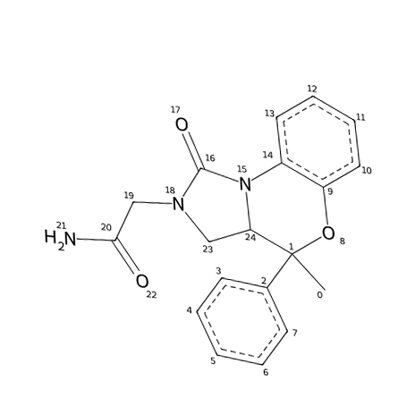 CC1(c2ccccc2)Oc2ccccc2N2C(=O)N(CC(N)=O)CC21